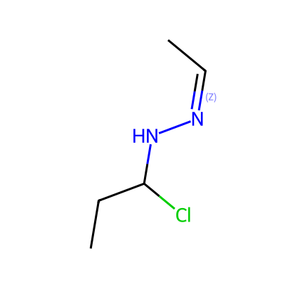 C/C=N\NC(Cl)CC